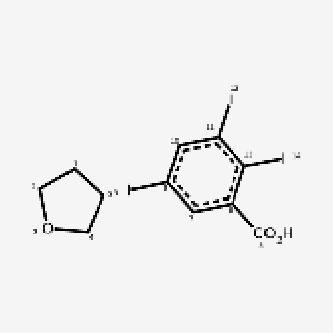 C1CCOC1.O=C(O)c1cc(I)cc(I)c1I